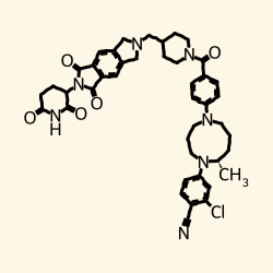 C[C@H]1CCCN(c2ccc(C(=O)N3CCC(CN4Cc5cc6c(cc5C4)C(=O)N(C4CCC(=O)NC4=O)C6=O)CC3)cc2)CCCN1c1ccc(C#N)c(Cl)c1